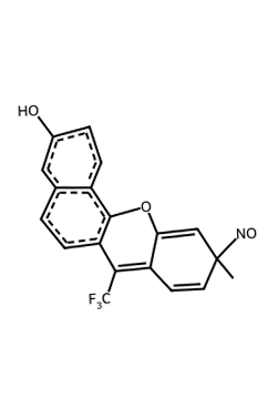 CC1(N=O)C=CC2=C(C(F)(F)F)c3ccc4cc(O)ccc4c3OC2=C1